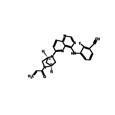 C#Cc1cccc(Nc2ncnc3ccc(N4C[C@@H]5C[C@H]4CN5C(=O)C=C)nc23)c1F